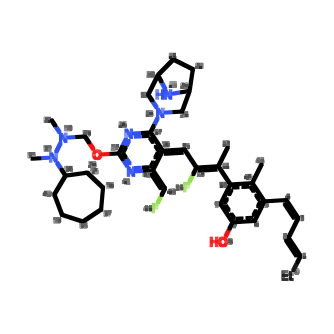 CC/C=C/C=C\c1cc(O)cc(/C(C)=C(F)/C=c2/c(N3CC4CCC(C3)N4)nc(OCN(C)N(C)C3CCCCCC3)n/c2=C\F)c1C